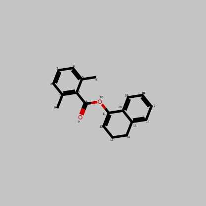 Cc1cccc(C)c1C(=O)OC1=CCCc2ccccc21